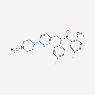 Cc1ccc(F)cc1C(=O)N(Cc1ccc(N2CCN(C)CC2)nc1)c1ccc(F)cc1